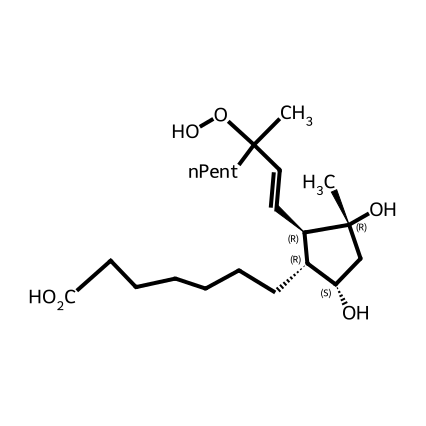 CCCCCC(C)(C=C[C@@H]1[C@@H](CCCCCCC(=O)O)[C@@H](O)C[C@@]1(C)O)OO